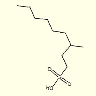 CCCCCCC(C)CCS(=O)(=O)O